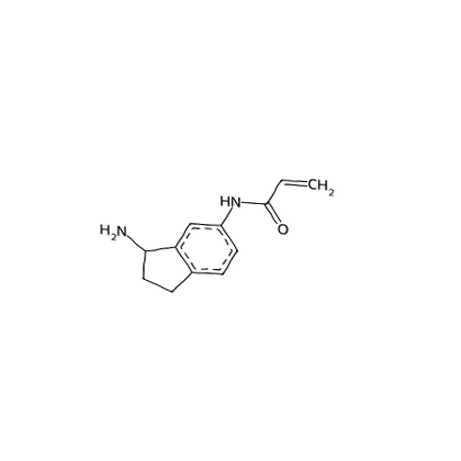 C=CC(=O)Nc1ccc2c(c1)C(N)CC2